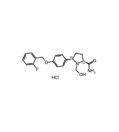 Cl.NC(=O)[C@@H]1CC[C@H](c2ccc(OCc3ccccc3F)cc2)N1CO